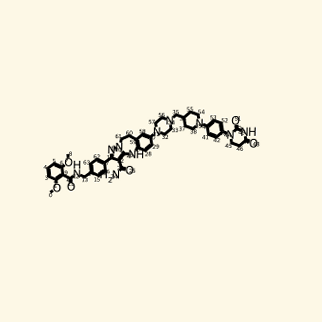 COc1cccc(OC)c1C(=O)NCc1ccc(-c2nn3c(c2C(N)=O)Nc2ccc(N4CCN(CC5CCN(c6ccc(N7CCC(=O)NC7=O)cc6)CC5)CC4)cc2CC3)cc1